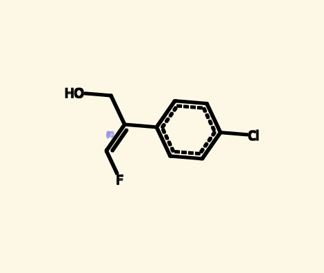 OC/C(=C/F)c1ccc(Cl)cc1